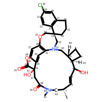 C[C@H]1/C=C/C(O)[C@@H]2CC[C@H]2CN2C[C@@]3(CCCc4cc(Cl)ccc43)COc3ccc(cc32)[C@@](O)(C(=O)O)CC(=O)N(C)C1